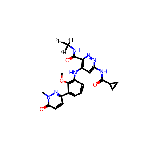 [2H]C([2H])([2H])NC(=O)c1nnc(NC(=O)C2CC2)cc1Nc1cccc(-c2ccc(=O)n(C)n2)c1OC